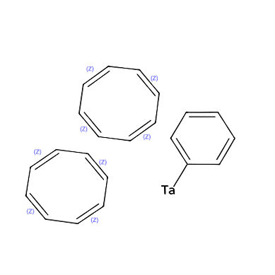 C1=C\C=C/C=C\C=C/1.C1=C\C=C/C=C\C=C/1.[Ta][c]1ccccc1